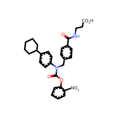 O=C(O)CCNC(=O)c1ccc(CN(C(=O)Oc2ccccc2[N+](=O)[O-])c2ccc(C3CCCCC3)cc2)cc1